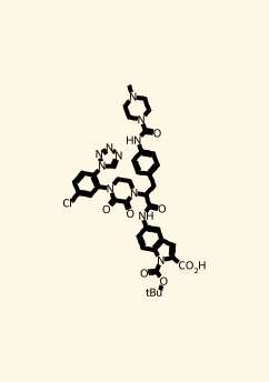 CN1CCN(C(=O)Nc2ccc(CC(C(=O)Nc3ccc4c(c3)cc(C(=O)O)n4C(=O)OC(C)(C)C)N3CCN(c4cc(Cl)ccc4-n4cnnn4)C(=O)C3=O)cc2)CC1